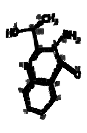 Bn1c([C@H](C)O)nc2ccccc2c1=O